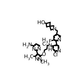 Cc1nn(C)c(OCC[C@H](C)Nc2cc(Cl)ncc2-c2ncc(CN3CC4(CC(O)C4)C3)cc2F)c1-c1nccc(N)n1